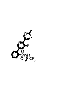 Cc1ncc(-c2ncc(-c3ccccc3S(=O)(=O)N[C@@H](C)C(F)(F)F)cc2F)cn1